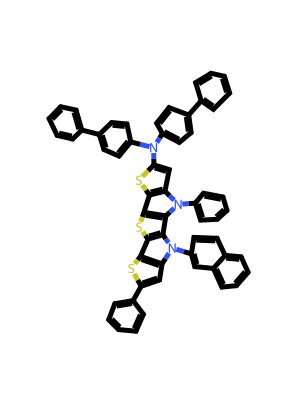 c1ccc(-c2ccc(N(c3ccc(-c4ccccc4)cc3)c3cc4c(s3)c3sc5c6sc(-c7ccccc7)cc6n(-c6ccc7ccccc7c6)c5c3n4-c3ccccc3)cc2)cc1